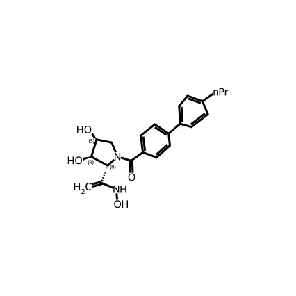 C=C(NO)[C@@H]1[C@@H](O)[C@@H](O)CN1C(=O)c1ccc(-c2ccc(CCC)cc2)cc1